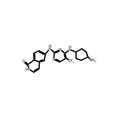 NC1CCC(Nc2nc(Nc3ccc4c(=O)[nH]ccc4c3)ncc2C(F)(F)F)CC1